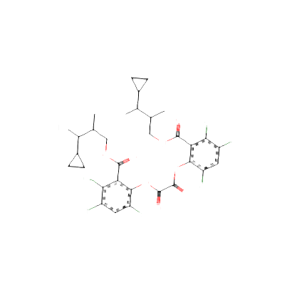 CCC(C(C)COC(=O)c1c(Cl)c(Cl)cc(Cl)c1OC(=O)C(=O)Oc1c(Cl)cc(Cl)c(Cl)c1C(=O)OCC(C)C(CC)C1CC1)C1CC1